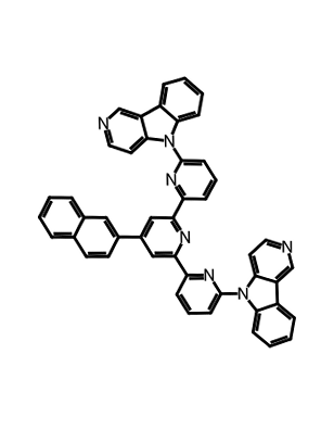 c1cc(-c2cc(-c3ccc4ccccc4c3)cc(-c3cccc(-n4c5ccccc5c5cnccc54)n3)n2)nc(-n2c3ccccc3c3cnccc32)c1